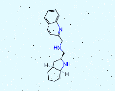 c1ccc2nc(CNC[C@@H]3C[C@@H]4CCCC[C@@H]4N3)ccc2c1